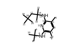 Cc1cc(F)c(NC(C)(C)C)nc1NC(C)(C)CC(C)(C)C